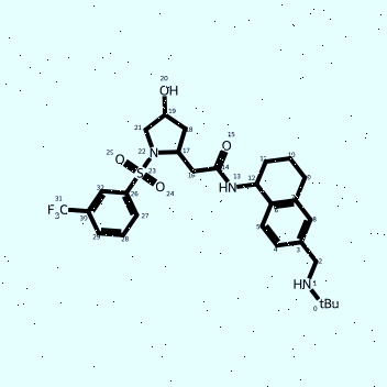 CC(C)(C)NCc1ccc2c(c1)CCCC2NC(=O)CC1CC(O)CN1S(=O)(=O)c1cccc(C(F)(F)F)c1